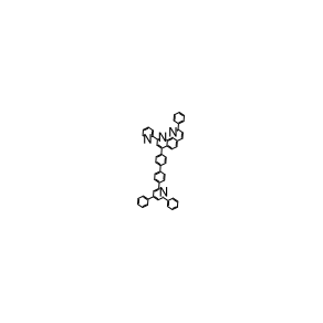 c1ccc(-c2cc(-c3ccccc3)nc(-c3ccc(-c4ccc(-c5cc(-c6ccccn6)nc6c5ccc5ccc(-c7ccccc7)nc56)cc4)cc3)c2)cc1